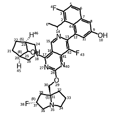 CCc1c(F)ccc2cc(O)cc(-c3ncc4c(N5C[C@H]6CC[C@@H](C5)C6O)nc(OC[C@@]56CCCN5C[C@H](F)C6)nc4c3F)c12